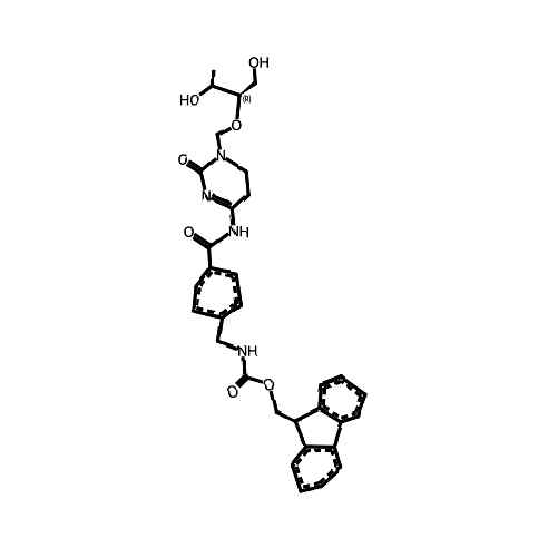 CC(O)[C@@H](CO)OCN1CCC(NC(=O)c2ccc(CNC(=O)OCC3c4ccccc4-c4ccccc43)cc2)=NC1=O